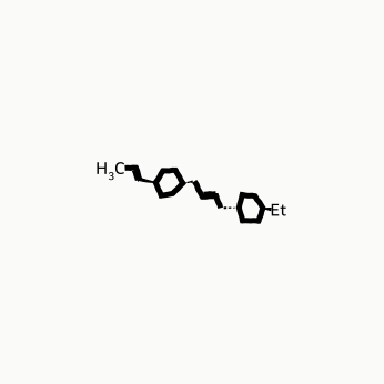 CC=C[C@H]1CC[C@H](CC=CC[C@H]2CC[C@H](CC)CC2)CC1